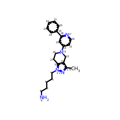 Cc1nn(CCCCCN)c2c1CN(c1ccnc(-c3ccccc3)c1)CC2